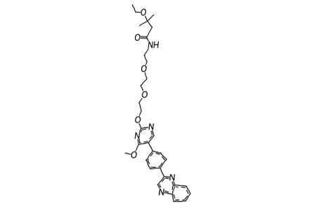 CCOC(C)(C)CC(=O)NCCOCCOCCOc1ncc(-c2ccc(-c3cnc4ccccc4n3)cc2)c(OC)n1